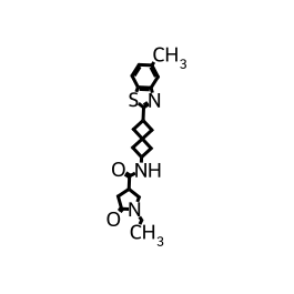 CCN1CC(C(=O)NC2CC3(C2)CC(c2nc4cc(C)ccc4s2)C3)CC1=O